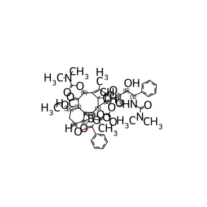 CO[C@H]1C[C@H]2OC[C@]23B(C(C)=O)[C@@]32[C@H](OC(=O)c3ccccc3)[C@]34OC(=O)O[C@H]3[C@H](OC(=O)[C@H](O)[C@@H](NC(=O)N(C)C)c3ccccc3)C(C)=C([C@@H](OC(=O)N(C)C)C(=O)[C@]12C)C4(C)C